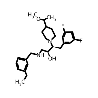 CCc1cccc(CNC[C@H](O)[C@H](Cc2cc(F)cc(F)c2)N2CCC(C(C)OC)CC2)c1